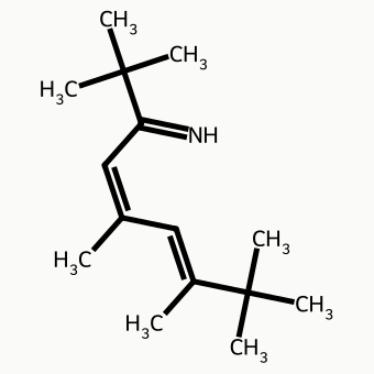 CC(=C/C(=N)C(C)(C)C)/C=C(\C)C(C)(C)C